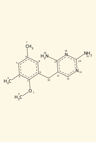 COc1c(C)cc(C)cc1Cc1cnc(N)nc1N